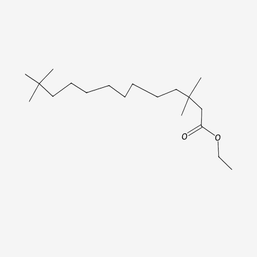 CCOC(=O)CC(C)(C)CCCCCCCCC(C)(C)C